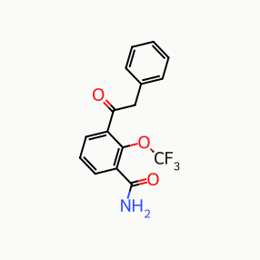 NC(=O)c1cccc(C(=O)Cc2ccccc2)c1OC(F)(F)F